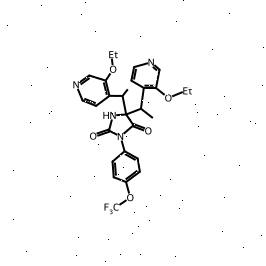 CCOc1cnccc1C(C)C1(C(C)c2ccncc2OCC)NC(=O)N(c2ccc(OC(F)(F)F)cc2)C1=O